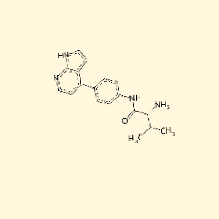 CC(C)[C@@H](N)C(=O)Nc1ccc(-c2ccnc3[nH]ccc23)cc1